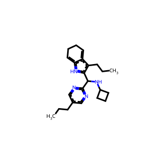 CCCc1cnc(C(NC2CCC2)c2[nH]c3c(c2CCC)=CCCC=3)nc1